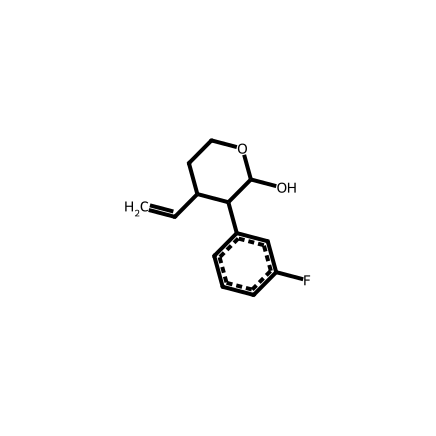 C=CC1CCOC(O)C1c1cccc(F)c1